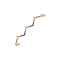 SSCSCSS